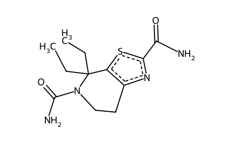 CCC1(CC)c2sc(C(N)=O)nc2CCN1C(N)=O